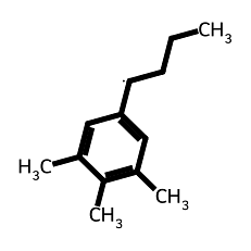 CCC[CH]c1cc(C)c(C)c(C)c1